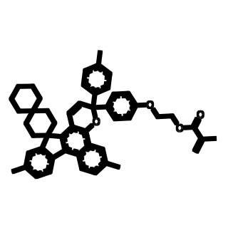 C=C(C)C(=O)OCCOc1ccc(C2(c3ccc(C)cc3)C=Cc3c4c(c5ccc(C)cc5c3O2)-c2ccc(C)cc2C42CCC3(CCCCC3)CC2)cc1